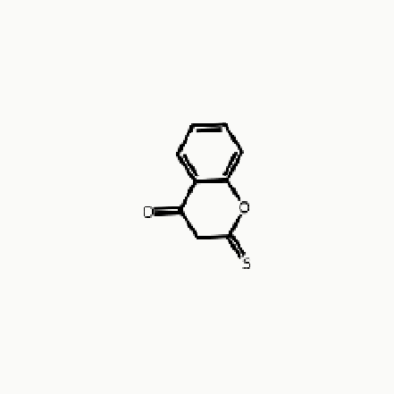 O=C1CC(=S)Oc2ccccc21